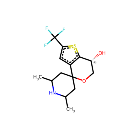 CC1CC2(CC(C)N1)OC[C@@H](O)c1sc(C(F)(F)F)cc12